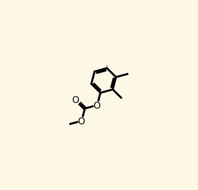 COC(=O)Oc1cc[c]c(C)c1C